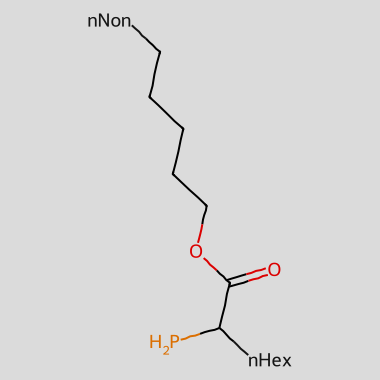 CCCCCCCCCCCCCCOC(=O)C(P)CCCCCC